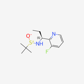 CC[C@H](N[S+]([O-])C(C)(C)C)c1ncccc1F